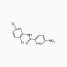 O=C(Nc1cc(Cl)ccc1Cl)c1ccc([N+](=O)[O-])cc1